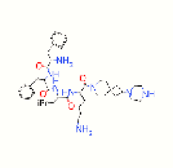 CC(C)CC(NC(=O)[C@@H](Cc1ccccc1)NC(=O)[C@H](N)Cc1ccccc1)C(=O)N[C@H](CCCCN)C(=O)N1CCC2(CC1)CC(N1CCNCC1)C2